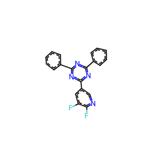 Fc1cc(-c2nc(-c3ccccc3)nc(-c3ccccc3)n2)cnc1F